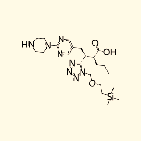 CCC[C@H](C(=O)O)[C@H](Cc1cnc(N2CCNCC2)nc1)c1nnnn1COCC[Si](C)(C)C